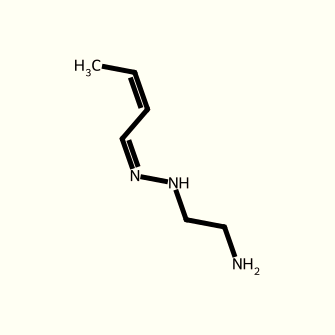 C/C=C\C=N/NCCN